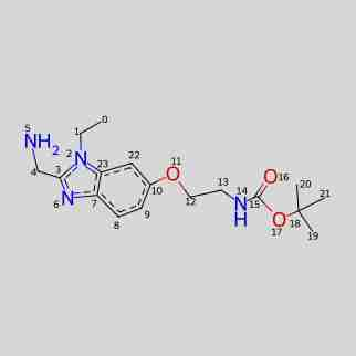 CCn1c(CN)nc2ccc(OCCNC(=O)OC(C)(C)C)cc21